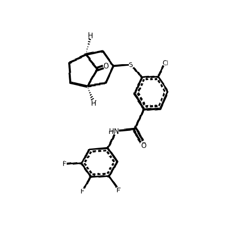 O=C(Nc1cc(F)c(F)c(F)c1)c1ccc(Cl)c(SC2C[C@H]3CC[C@@H](C2)C3=O)c1